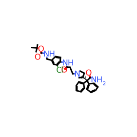 CC(C)(C)OC(=O)NCc1ccc(NC(=O)CCN2CC[C@@H](C(C(N)=O)(c3ccccc3)c3ccccc3)C2)c(Cl)c1